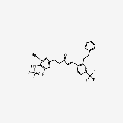 C#Cc1cc(CNC(=O)C=Cc2ccc(C(F)(F)F)nc2CCc2ccccc2)cc(F)c1NS(C)(=O)=O